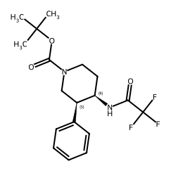 CC(C)(C)OC(=O)N1CC[C@@H](NC(=O)C(F)(F)F)[C@@H](c2ccccc2)C1